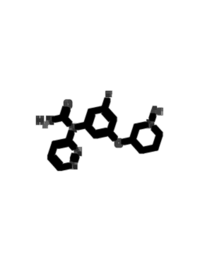 CC(=O)N1CCCC(Oc2cc(F)cc(N(C(N)=O)c3cccnn3)c2)C1